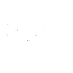 N=C(N)NCCC[C@@H](NC(=O)[C@@H](N)CCC(=O)O)C(=O)O